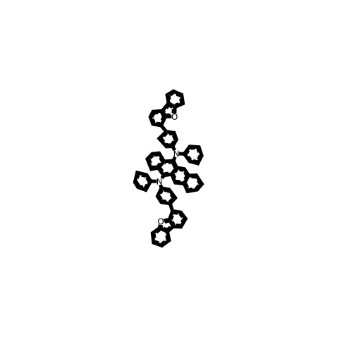 c1ccc(N(c2ccc(-c3cccc4c3oc3ccccc34)cc2)c2c3ccccc3c(N(c3ccccc3)c3ccc(-c4cccc5c4oc4ccccc45)cc3)c3cc4ccccc4cc23)cc1